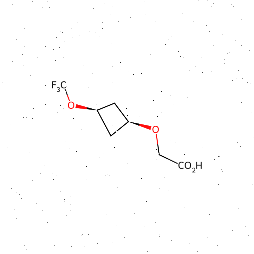 O=C(O)CO[C@H]1C[C@@H](OC(F)(F)F)C1